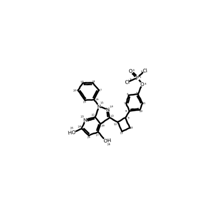 O=P(Cl)(Cl)Oc1ccc(C2CCC2c2nn(-c3ccccc3)c3nc(O)cc(O)c23)cc1